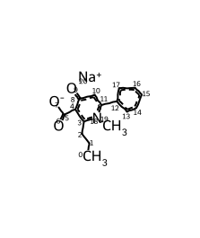 CCCc1c(C(=O)[O-])c(=O)cc(-c2ccccc2)n1C.[Na+]